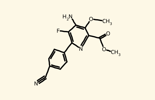 COC(=O)c1nc(-c2ccc(C#N)cc2)c(F)c(N)c1OC